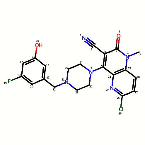 Cn1c(=O)c(C#N)c(N2CCN(Cc3cc(O)cc(F)c3)CC2)c2nc(Cl)ccc21